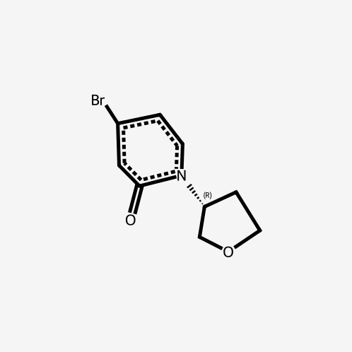 O=c1cc(Br)ccn1[C@@H]1CCOC1